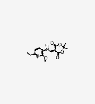 CCc1ccc(NC=C2C(=O)OC(C)(C)OC2=O)c(OC)n1